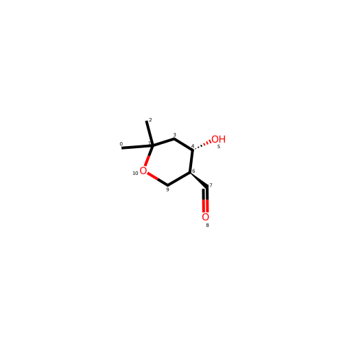 CC1(C)C[C@H](O)[C@@H](C=O)CO1